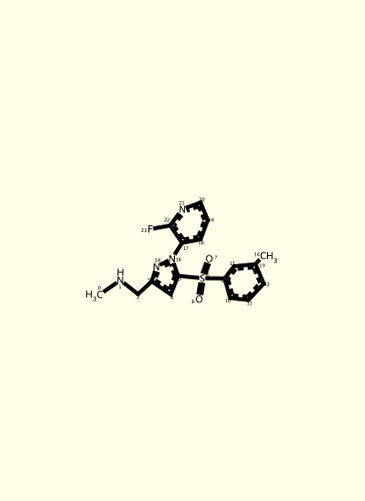 CNCc1cc(S(=O)(=O)c2cccc(C)c2)n(-c2cccnc2F)n1